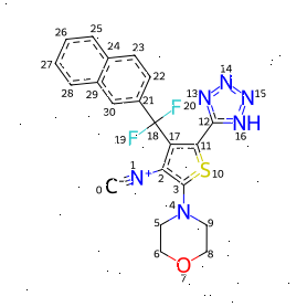 [C-]#[N+]c1c(N2CCOCC2)sc(-c2nnn[nH]2)c1C(F)(F)c1ccc2ccccc2c1